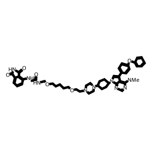 CNc1ncnc2c1c(-c1ccc(Oc3ccccc3)cc1)cn2C1CCC(N2CCN(CCOCCCCCOCNC(=O)CNc3cccc4c3C(=O)NC4=O)CC2)CC1